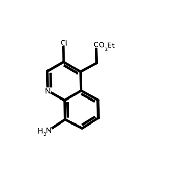 CCOC(=O)Cc1c(Cl)cnc2c(N)cccc12